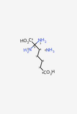 N.NC(N)(CCCCC(=O)O)C(=O)O